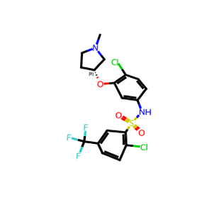 CN1CC[C@@H](Oc2cc(NS(=O)(=O)c3cc(C(F)(F)F)ccc3Cl)ccc2Cl)C1